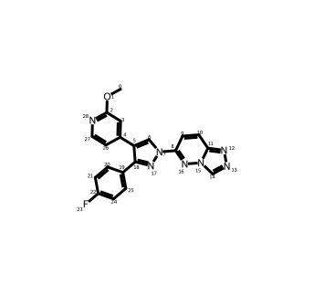 COc1cc(-c2cn(-c3ccc4nncn4n3)nc2-c2ccc(F)cc2)ccn1